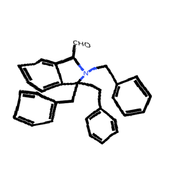 O=CC1c2ccccc2C(Cc2ccccc2)(Cc2ccccc2)N1Cc1ccccc1